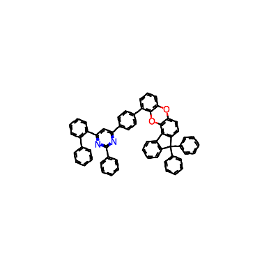 c1ccc(-c2nc(-c3ccc(-c4cccc5c4Oc4c(ccc6c4-c4ccccc4C6(c4ccccc4)c4ccccc4)O5)cc3)cc(-c3ccccc3-c3ccccc3)n2)cc1